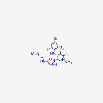 CNCCNC1=CNN(c2cn(C)c(=O)c(C)c2Nc2ccc(Br)cc2F)O1